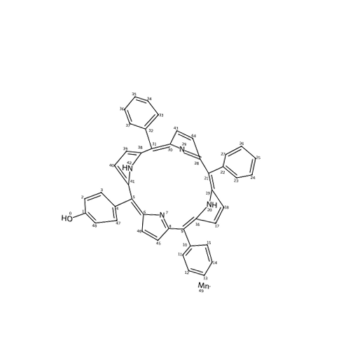 Oc1ccc(-c2c3nc(c(-c4ccccc4)c4ccc([nH]4)c(-c4ccccc4)c4nc(c(-c5ccccc5)c5ccc2[nH]5)C=C4)C=C3)cc1.[Mn]